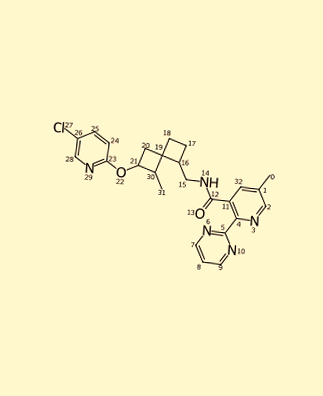 Cc1cnc(-c2ncccn2)c(C(=O)NCC2CCC23CC(Oc2ccc(Cl)cn2)C3C)c1